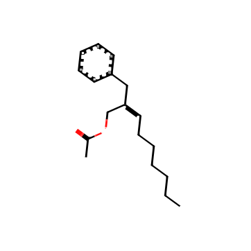 CCCCCCC=C(COC(C)=O)Cc1ccccc1